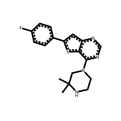 CC1(C)CN(c2ncnc3cc(-c4ccc(F)cc4)sc23)CCN1